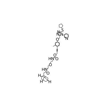 Cc1cc(OCc2nnc(SC3CCCC3)n2-c2cccnc2)ccc1C#CCOC(=O)NCCOCCNC(=O)CC1C2C[C@H]3C[C@@H](C2)C[C@@H]1C3